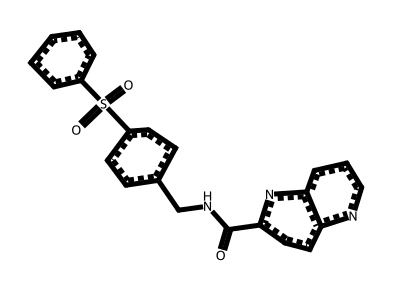 O=C(NCc1ccc(S(=O)(=O)c2ccccc2)cc1)c1ccc2ncccc2n1